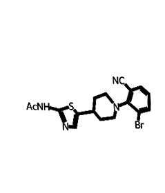 CC(=O)Nc1ncc(C2CCN(c3c(Br)cccc3C#N)CC2)s1